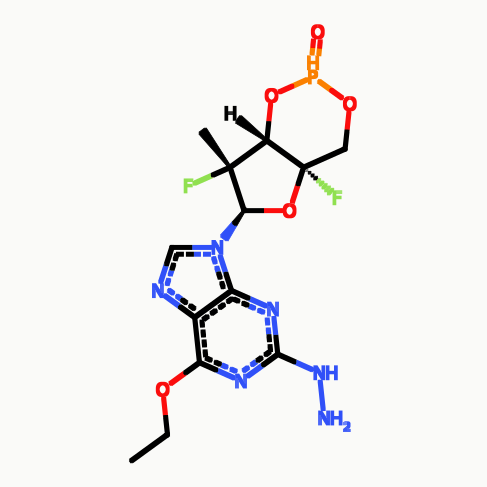 CCOc1nc(NN)nc2c1ncn2[C@@H]1O[C@]2(F)CO[PH](=O)O[C@H]2[C@@]1(C)F